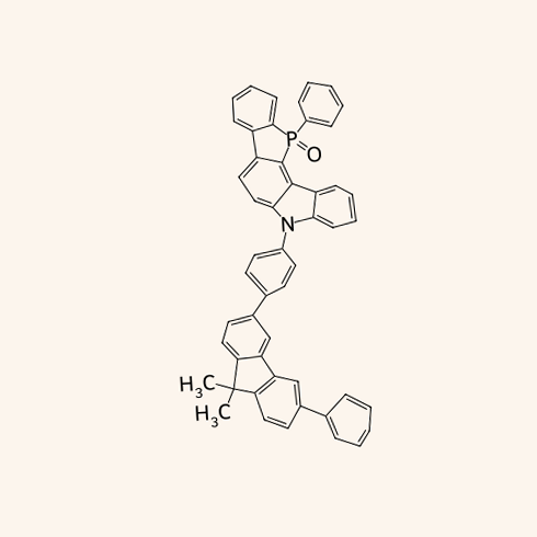 CC1(C)c2ccc(-c3ccccc3)cc2-c2cc(-c3ccc(-n4c5ccccc5c5c6c(ccc54)-c4ccccc4P6(=O)c4ccccc4)cc3)ccc21